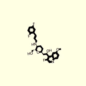 COc1ccc2ncc(F)c([C@@H](O)C[C@@H]3CC[C@@H](NC/C=C/c4cc(F)ccc4F)[C@@H](CO)O3)c2c1